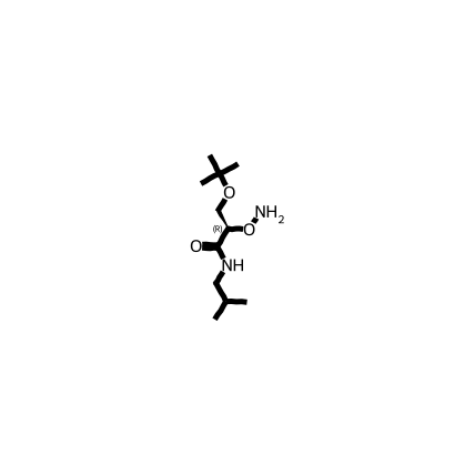 CC(C)CNC(=O)[C@@H](COC(C)(C)C)ON